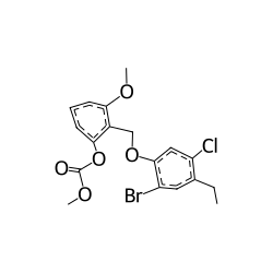 CCc1cc(Br)c(OCc2c(OC)cccc2OC(=O)OC)cc1Cl